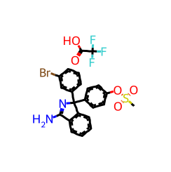 CS(=O)(=O)Oc1ccc(C2(c3cccc(Br)c3)N=C(N)c3ccccc32)cc1.O=C(O)C(F)(F)F